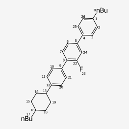 CCCCc1ccc(-c2ccc(-c3ccc(C4CCC(CCCC)CC4)cc3)c(F)c2)cc1